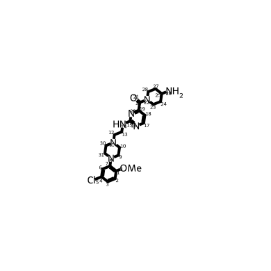 COc1ccc(Cl)cc1N1CCN(CCNc2nccc(C(=O)N3CCC(N)CC3)n2)CC1